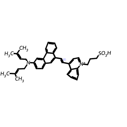 CC(C)=CCN(CC=C(C)C)c1ccc2cc(/C=C/c3cc[n+](CCCS(=O)(=O)O)c4ccccc34)c3ccccc3c2c1